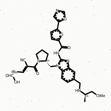 COC[C@@H](C)NCc1ccc2c(c1)nc(NC(=O)c1ccc(-c3cnco3)s1)n2C[C@H]1CCCN1C(=O)/C(C#N)=C/C(C)(C)C.O=CO